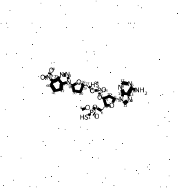 COP(=O)(S)OC[C@H]1O[C@@H](n2cnc3c(N)ncnc32)C[C@@H]1OP(=O)(S)OC[C@@H]1CC[C@H](n2nnc3c([N+](=O)[O-])cccc32)O1